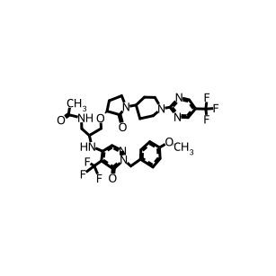 COc1ccc(Cn2ncc(NC(CNC(C)=O)CO[C@@H]3CCN(C4CCN(c5ncc(C(F)(F)F)cn5)CC4)C3=O)c(C(F)(F)F)c2=O)cc1